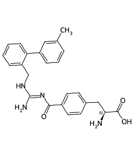 Cc1cccc(-c2ccccc2CNC(N)=NC(=O)c2ccc(C[C@H](N)C(=O)O)cc2)c1